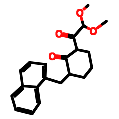 COC(OC)C(=O)C1CCCC(Cc2cccc3ccccc23)C1=O